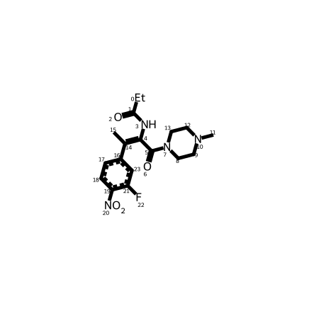 CCC(=O)N/C(C(=O)N1CCN(C)CC1)=C(\C)c1ccc([N+](=O)[O-])c(F)c1